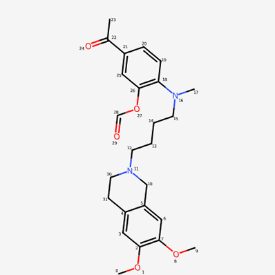 COc1cc2c(cc1OC)CN(CCCCN(C)c1ccc(C(C)=O)cc1OC=O)CC2